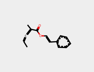 CC=C=C(C)C(=O)OC=Cc1ccccc1